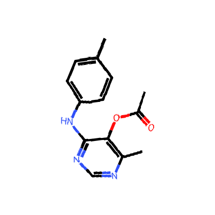 CC(=O)Oc1c(C)ncnc1Nc1ccc(C)cc1